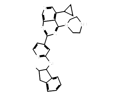 OC1Cc2ccccc2C1Nc1cc(-c2nc(N3CCNCC3)c3c(C4CC4)cncc3n2)ccn1